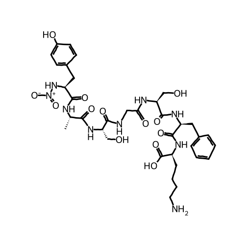 C[C@H](NC(=O)[C@H](Cc1ccc(O)cc1)N[N+](=O)[O-])C(=O)N[C@@H](CO)C(=O)NCC(=O)N[C@@H](CO)C(=O)N[C@@H](Cc1ccccc1)C(=O)N[C@@H](CCCCN)C(=O)O